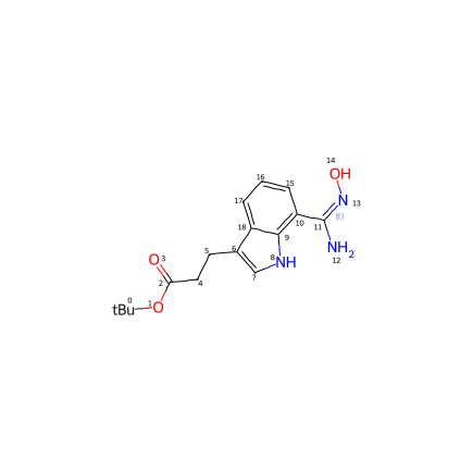 CC(C)(C)OC(=O)CCc1c[nH]c2c(/C(N)=N\O)cccc12